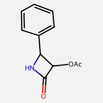 CC(=O)OC1C(=O)NC1c1ccccc1